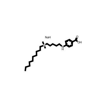 CCCCCCCCCC[Si](C)(C)CCCCCNc1ccc(C(=O)O)cc1.[NaH]